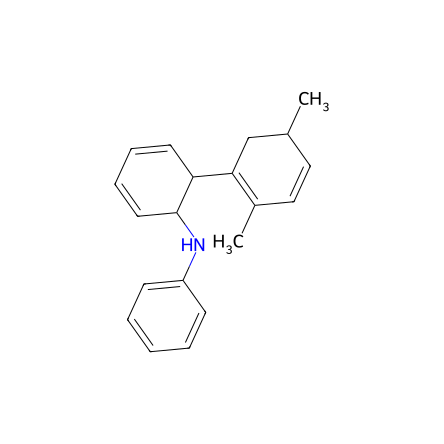 CC1=C(C2C=CC=CC2Nc2ccccc2)CC(C)C=C1